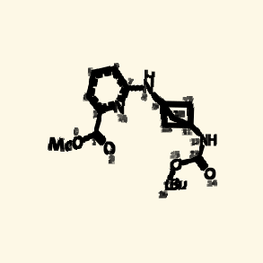 COC(=O)c1cccc(NC23CC(NC(=O)OC(C)(C)C)(C2)C3)n1